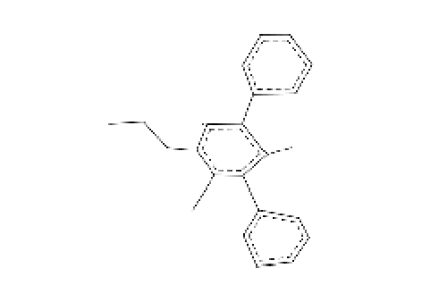 CCCc1[c]c(-c2ccccc2)c(C)c(-c2ccccc2)c1C